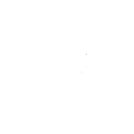 CCOC(=O)c1c(C(C)C)nn2c(Br)ccc2c1-c1ccc(F)cc1